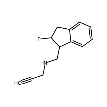 C#CCNCC1c2ccccc2CC1F